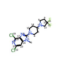 Cn1c(N2CCC(N3CCC(F)(F)C3)CC2)nc2c(Cl)nc(Cl)cc21